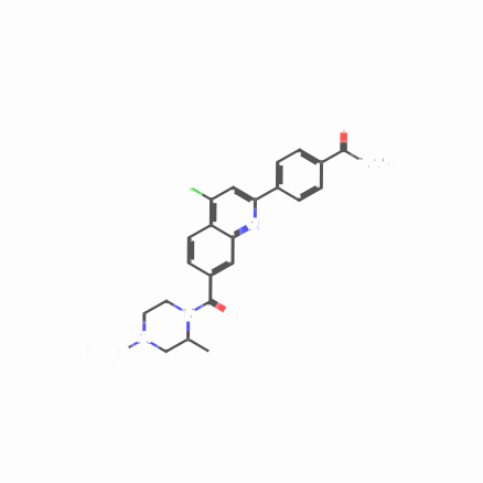 CNC(=O)c1ccc(-c2cc(Cl)c3ccc(C(=O)N4CCN(C(=O)O)CC4C)cc3n2)cc1